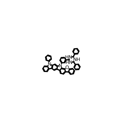 c1ccc(C2NC(c3ccccc3)NC(c3cccc(-n4c5cc6c(cc5c5ccc7c8ccccc8oc7c54)c4ccccc4n6-c4ccccc4)c3)N2)cc1